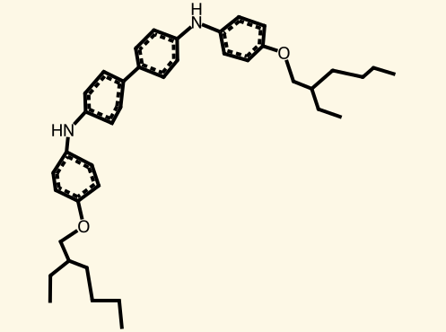 CCCCC(CC)COc1ccc(Nc2ccc(-c3ccc(Nc4ccc(OCC(CC)CCCC)cc4)cc3)cc2)cc1